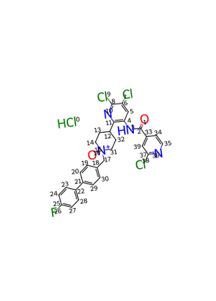 Cl.O=C(Nc1cc(Cl)c(Cl)nc1C1CC[N+]([O-])(Cc2ccc(-c3ccc(F)cc3)cc2)CC1)c1ccnc(Cl)c1